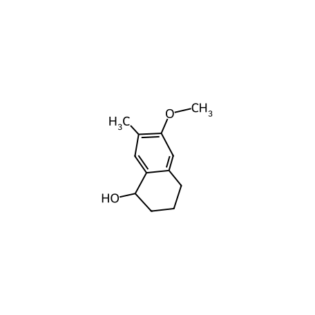 COc1cc2c(cc1C)C(O)CCC2